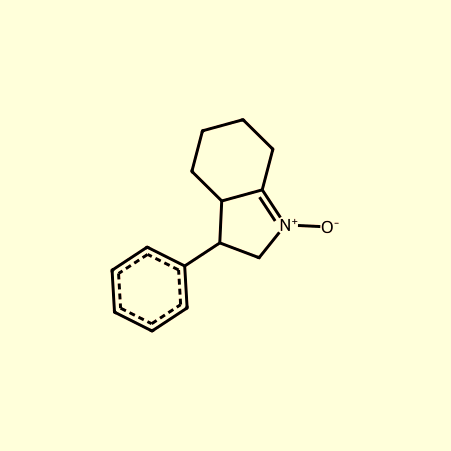 [O-][N+]1=C2CCCCC2C(c2ccccc2)C1